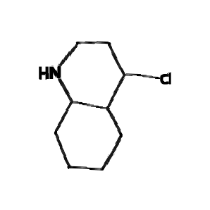 ClC1CCNC2CCCCC12